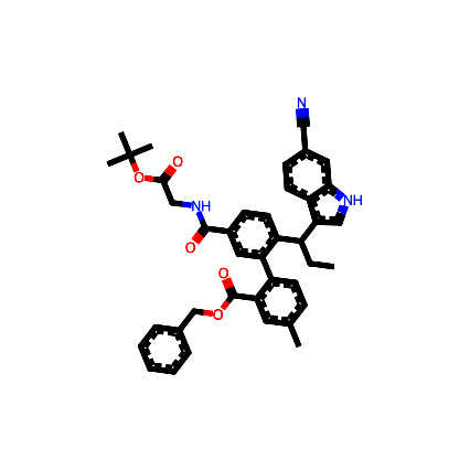 CCC(c1ccc(C(=O)NCC(=O)OC(C)(C)C)cc1-c1ccc(C)cc1C(=O)OCc1ccccc1)c1c[nH]c2cc(C#N)ccc12